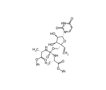 C=C[C@]1(COP(=O)(N[C@@H](C)C(=O)OC(C)C)N[C@@H](C)C(=O)OC(C)C)O[C@@H](n2ccc(=O)[nH]c2=O)[C@H](O)[C@@H]1O